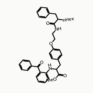 CCCCCCC(Cc1ccccc1)C(=O)NCCOc1ccc(CC(Nc2ccccc2C(=O)c2ccccc2)C(=O)OC)cc1